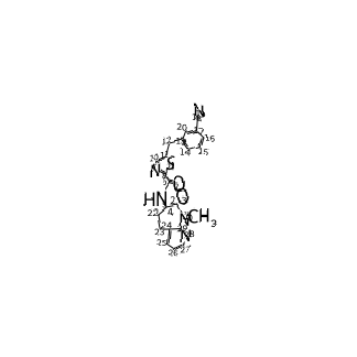 CN1C(=O)C(NC(=O)c2ncc(Cc3cccc(C#N)c3)s2)CCc2cccnc21